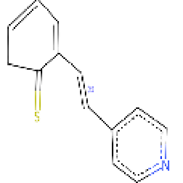 S=C1CC=CC=C1/C=C/c1ccncc1